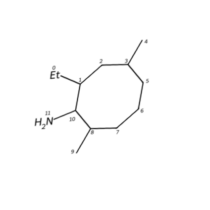 CCC1CC(C)CCCC(C)C1N